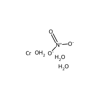 O.O.O.O=[N+]([O-])[O-].[Cr]